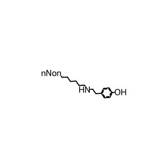 CCCCCCCCCCCCCCCNCCc1ccc(O)cc1